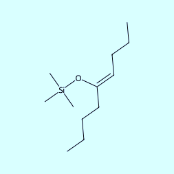 CCCC=C(CCCC)O[Si](C)(C)C